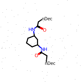 CCCCCCCCCCCC(=O)NC1CCCC(NC(=O)CCCCCCCCCCC)C1